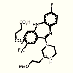 COCC[C@H]1CN(C2=Nc3ccc(F)cc3Nc3ccc(C(F)(F)F)cc32)CCN1.O=C(O)CCC(=O)O